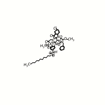 CCCCCCCCCCCCS(=O)(=O)Nc1ccc(Cl)c(NC(=O)C(c2nc3ccc(Cl)cc3c(=O)n2CCC(=O)ON(C)C)N2C(=O)C(OCC)N(Cc3ccccc3)C2=O)c1